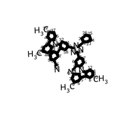 Cc1ccc2c(c1)c1cc(C)ccc1n2-c1ccc(-c2nc(-c3ccccc3)nc(-c3ccc(-n4c5ccc(C)cc5c5cc(C)ccc54)c(-c4cccc(C#N)c4)c3)n2)cc1C#N